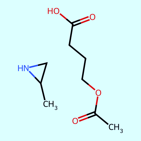 CC(=O)OCCCC(=O)O.CC1CN1